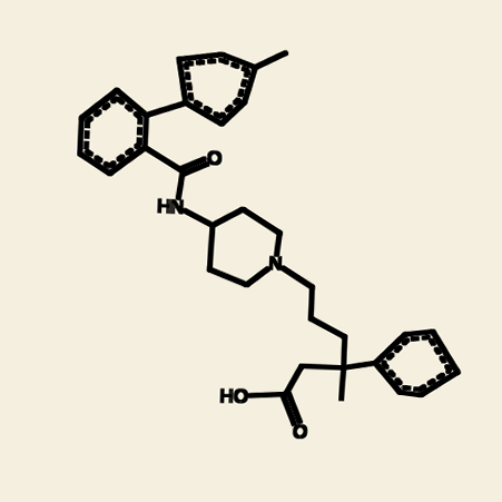 Cc1ccc(-c2ccccc2C(=O)NC2CCN(CCCC(C)(CC(=O)O)c3ccccc3)CC2)cc1